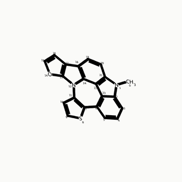 Cn1c2cccc3c4sccc4n4c5occc5c5ccc1c(c32)c54